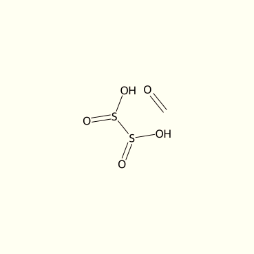 C=O.O=S(O)S(=O)O